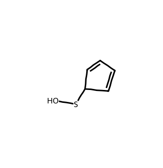 OSC1C=CC=C1